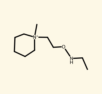 CCNOCC[N+]1(C)CCCCC1